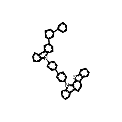 c1ccc(-c2cccc(-c3ccc4c(c3)c3ccccc3n4-c3ccc(-c4ccc(-n5c6ccccc6c6ccc7c8ccccc8sc7c65)cc4)cc3)c2)cc1